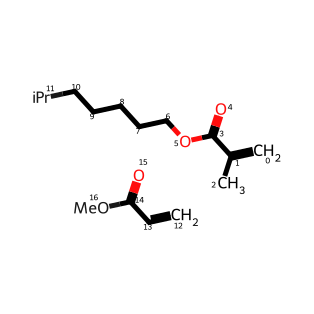 C=C(C)C(=O)OCCCCCC(C)C.C=CC(=O)OC